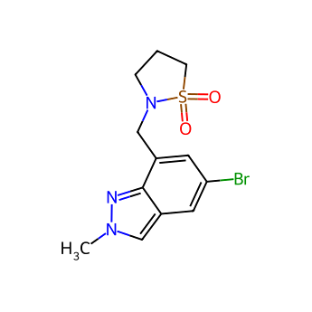 Cn1cc2cc(Br)cc(CN3CCCS3(=O)=O)c2n1